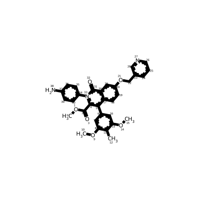 COC(=O)c1c(-c2cc(OC)c(C)c(OC)c2)c2ccc(OCc3cccnc3)cc2c(=O)n1-c1ccc(N)cc1